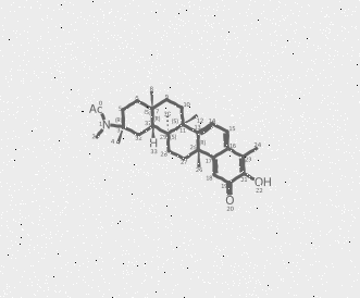 CC(=O)N(C)[C@]1(C)CC[C@]2(C)CC[C@]3(C)C4=CC=C5C(=CC(=O)C(O)=C5C)[C@]4(C)CC[C@@]3(C)[C@@H]2C1